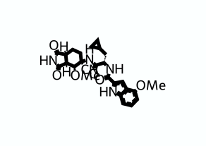 COc1cccc2[nH]c(C(=O)N[C@@H](CC3CC3)C(=O)N[C@@]3(C#N)CC[C@@H]4C(=O)NC(=O)[C@@H]4[C@@H]3OC)cc12